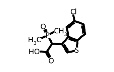 CP(C)(=O)C(C(=O)O)c1csc2ccc(Cl)cc12